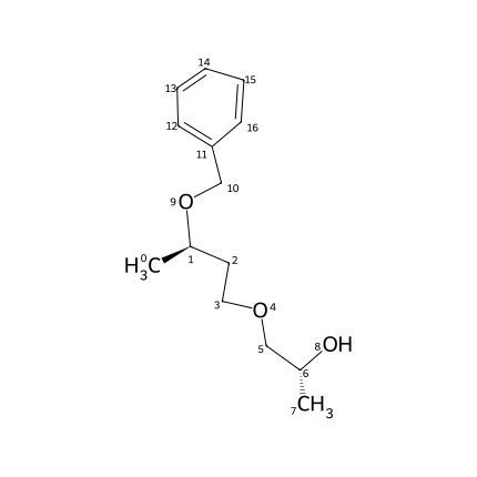 C[C@H](CCOC[C@@H](C)O)OCc1ccccc1